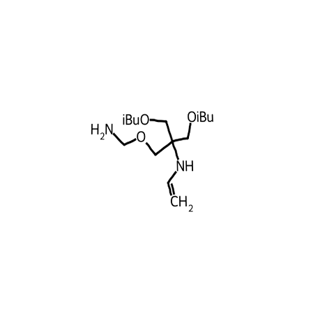 C=CNC(COCN)(COCC(C)C)COCC(C)C